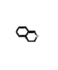 C1=CC2=C[N]CCC2=CC1